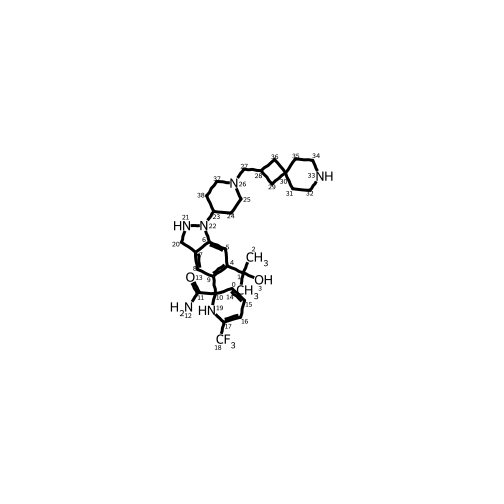 CC(C)(O)c1cc2c(cc1C1(C(N)=O)C=CC=C(C(F)(F)F)N1)CNN2C1CCN(CC2CC3(CCNCC3)C2)CC1